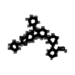 O=[N+]([O-])c1ccccc1-c1cccc(-c2ccc3c(c2)c2cc4oc(-c5ccccc5)nc4cc2n3-c2ccccc2)c1